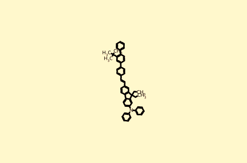 CCC1(CC)c2cc(/C=C/c3ccc(-c4ccc(-c5ccccc5)c(C(C)(C)C)c4)cc3)ccc2-c2ccc(N(c3ccccc3)c3ccccc3)cc21